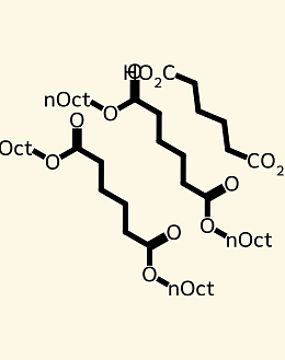 CCCCCCCCOC(=O)CCCCC(=O)OCCCCCCCC.CCCCCCCCOC(=O)CCCCC(=O)OCCCCCCCC.O=C(O)CCCCC(=O)O